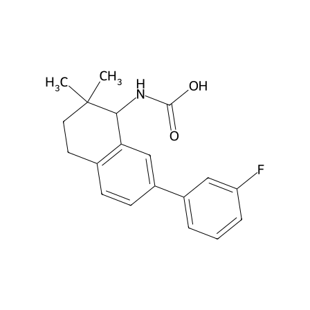 CC1(C)CCc2ccc(-c3cccc(F)c3)cc2C1NC(=O)O